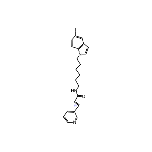 O=C(/C=C/c1cccnc1)NCCCCCCn1ccc2cc(I)ccc21